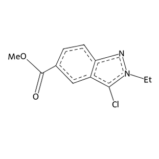 CCn1nc2ccc(C(=O)OC)cc2c1Cl